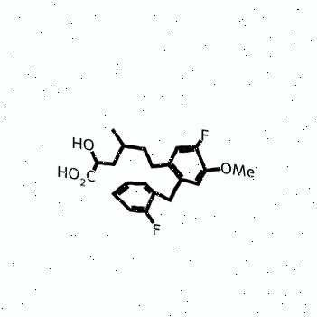 COc1cc(Cc2ccccc2F)c(CCC(C)CC(O)C(=O)O)cc1F